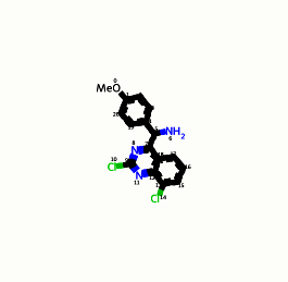 COc1ccc(C(N)c2nc(Cl)nc3c(Cl)cccc23)cc1